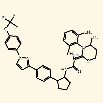 Cc1cccc(C)c1N1/C(=N/C(=O)NC2CCCC2c2ccc(-c3ccn(-c4ccc(OC(F)(F)F)cc4)n3)cc2)SCCC1C